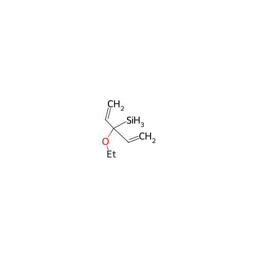 C=CC([SiH3])(C=C)OCC